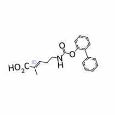 C/C(=C\CCNC(=O)Oc1ccccc1-c1ccccc1)C(=O)O